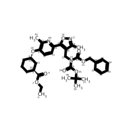 CCOC(=O)[C@H]1CCC[C@H](Oc2ccc(-c3onc(C)c3CN(C(=O)OCc3ccccc3)C(=O)OC(C)(C)C)nc2C)C1